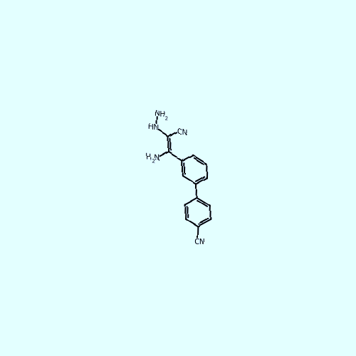 N#C/C(NN)=C(/N)c1cccc(-c2ccc(C#N)cc2)c1